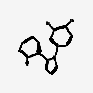 N#Cc1ccc(-n2cccc2-c2ccccc2Cl)cc1Br